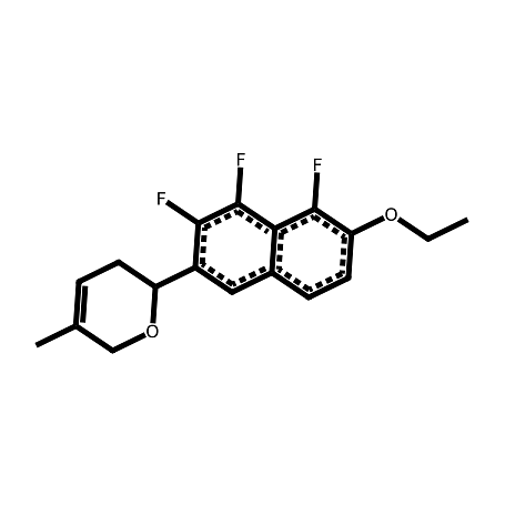 CCOc1ccc2cc(C3CC=C(C)CO3)c(F)c(F)c2c1F